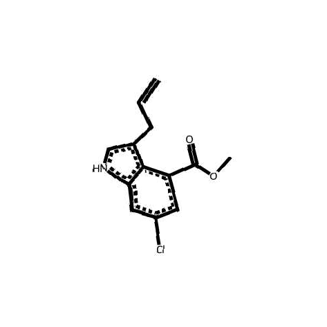 C=CCc1c[nH]c2cc(Cl)cc(C(=O)OC)c12